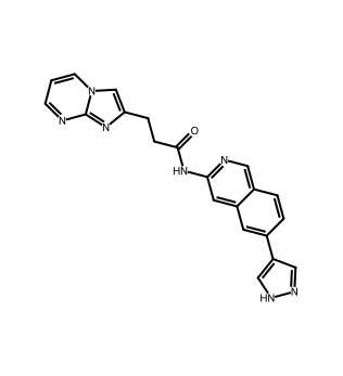 O=C(CCc1cn2cccnc2n1)Nc1cc2cc(-c3cn[nH]c3)ccc2cn1